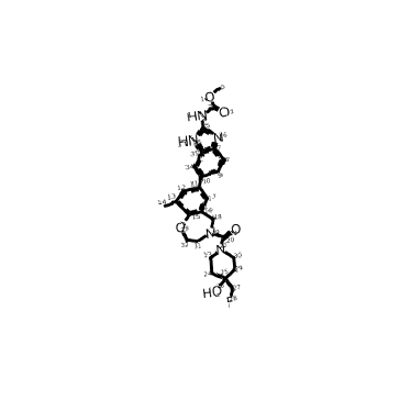 COC(=O)Nc1nc2ccc(-c3cc(C)c4c(c3)CN(C(=O)N3CCC(O)(CF)CC3)CCO4)cc2[nH]1